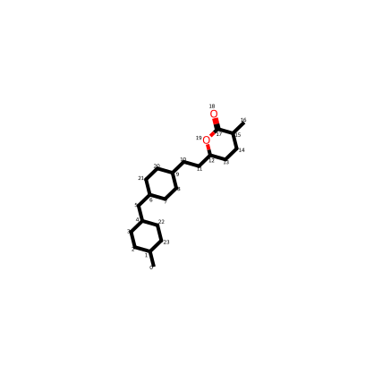 CC1CCC(CC2CCC(CCC3CCC(C)C(=O)O3)CC2)CC1